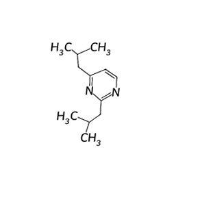 CC(C)Cc1ccnc(CC(C)C)n1